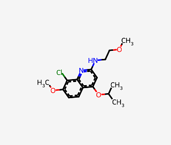 COCCNc1cc(OC(C)C)c2ccc(OC)c(Cl)c2n1